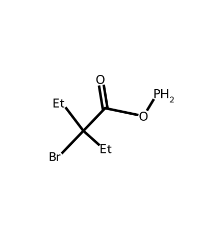 CCC(Br)(CC)C(=O)OP